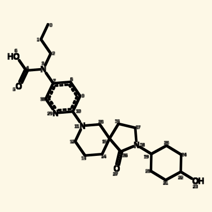 CCCN(C(=O)O)c1ccc(N2CCCC3(CCN(C4CCC(O)CC4)C3=O)C2)nc1